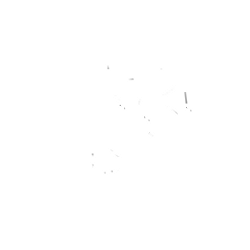 O=C(OCc1ccccc1)n1c2cncc(O)c2c2cc(Br)cnc21